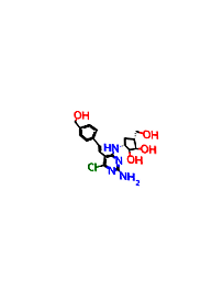 Nc1nc(Cl)c(/C=C/c2ccc(CO)cc2)c(N[C@@H]2C[C@H](CO)[C@@H](O)[C@H]2O)n1